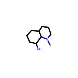 NC1CCCC2CCCN(I)C12